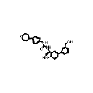 O=C(Nc1ccc(C2CCOCC2)cc1)Nc1c[nH]c2ccc(-c3cccc(CO)c3)cc12